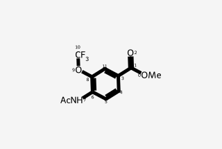 COC(=O)c1ccc(NC(C)=O)c(OC(F)(F)F)c1